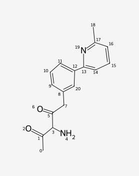 CC(=O)C(N)C(=O)Cc1cccc(-c2cccc(C)n2)c1